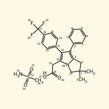 CC1(C)Cc2c(-c3ccccc3)c(-c3ccc(C(F)(F)F)cc3)c(CC(=O)O)n2C1.CS(N)(=O)=O